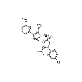 COc1cccc(-c2nnc(NS(=O)(=O)C(C)C(OC(C)C)c3ncc(Cl)cn3)n2C2CC2)n1